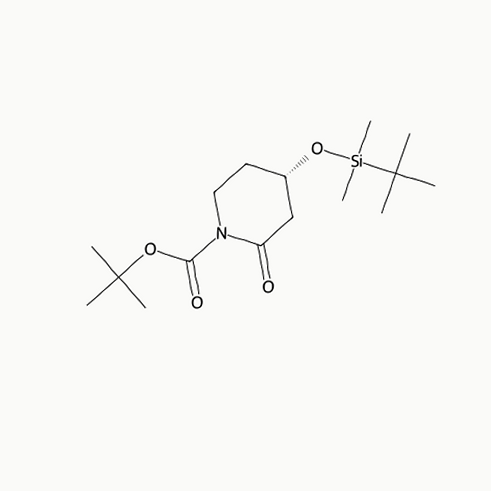 CC(C)(C)OC(=O)N1CC[C@H](O[Si](C)(C)C(C)(C)C)CC1=O